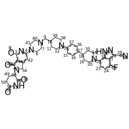 COc1nc(N2CCN(CC3CCN(c4ccc(C5CCN(c6ccc(F)c7c(C#N)n[nH]c67)CC5)cc4)CC3)CC2)cc2c1C(=O)N(C1CCC(=O)NC1=O)C2